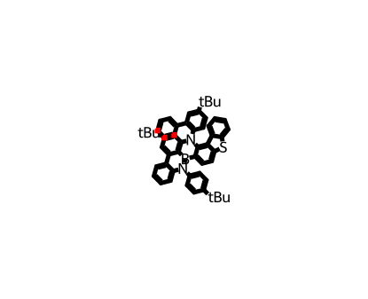 CC(C)(C)c1ccc(N2B3c4ccc5sc6ccccc6c5c4N(c4ccc(C(C)(C)C)cc4-c4ccccc4)c4cc(C(C)(C)C)cc(c43)-c3ccccc32)cc1